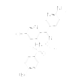 CC(C)ON=C(c1ccc(N)nc1)c1ncc(Cl)cc1NS(=O)(=O)c1ccc(C(C)(C)C)cc1